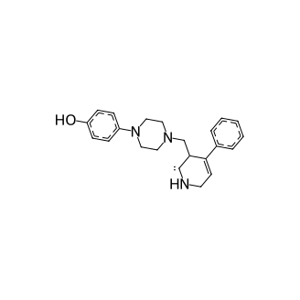 Oc1ccc(N2CCN(CC3[C]NCC=C3c3ccccc3)CC2)cc1